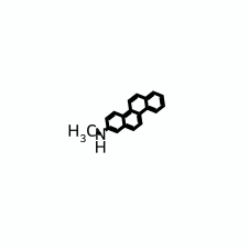 CNc1ccc2c(ccc3c4ccccc4ccc23)c1